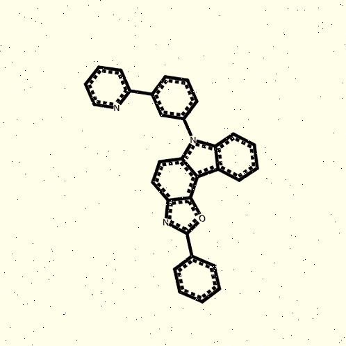 c1ccc(-c2nc3ccc4c(c5ccccc5n4-c4cccc(-c5ccccn5)c4)c3o2)cc1